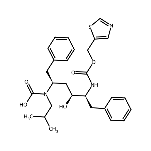 CC(C)CN(C(=O)O)[C@@H](Cc1ccccc1)C[C@H](O)[C@H](Cc1ccccc1)NC(=O)OCc1cncs1